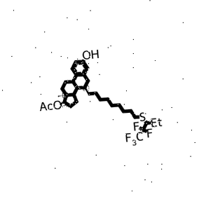 CCC(SCCCCCCCCC[C@@H]1Cc2cc(O)ccc2C2CC[C@@]3(C)C(CC[C@@H]3OC(C)=O)C21)C(F)(F)C(F)(F)F